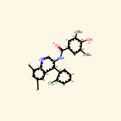 Cc1cc(C)c2ncc(NC(=O)c3cc(C(C)(C)C)c(O)c(C(C)(C)C)c3)c(-c3ccccc3Cl)c2c1